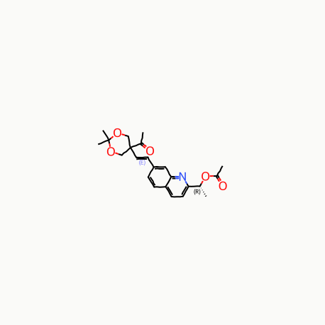 CC(=O)O[C@H](C)c1ccc2ccc(/C=C/C3(C(C)=O)COC(C)(C)OC3)cc2n1